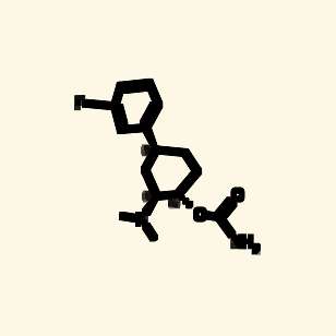 CN(C)[C@H]1C[C@@H](c2cccc(F)c2)CC[C@@H]1OC(N)=O